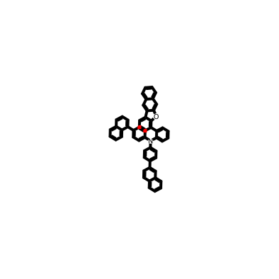 c1ccc(N(c2ccc(-c3ccc4ccccc4c3)cc2)c2ccc(-c3cccc4ccccc34)cc2)c(-c2cccc3c2oc2cc4ccccc4cc23)c1